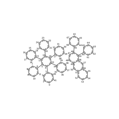 c1ccc(-c2c(-c3ccccc3)c(-c3ccccc3)c(-c3ccccc3)c(-c3ccccc3)c2-c2ccccc2)cc1.c1ccc(-c2ccc3cc4ccccc4cc3c2-c2ccccc2)cc1